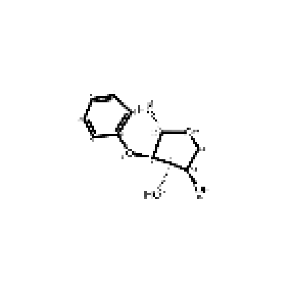 O[C@@H]1[C@@H](Oc2ccccc2)[C@H](O)OC[C@H]1O